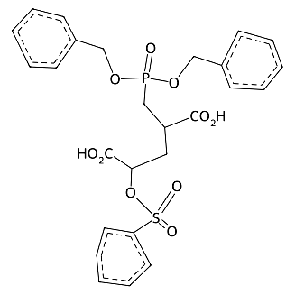 O=C(O)C(CC(OS(=O)(=O)c1ccccc1)C(=O)O)CP(=O)(OCc1ccccc1)OCc1ccccc1